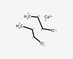 CCC[O-].CCC[O-].[Ca+2]